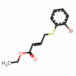 CCOC(=O)/C=C/CSc1ccccc1Br